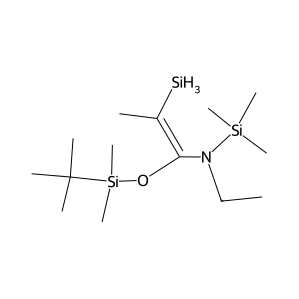 CCN(C(O[Si](C)(C)C(C)(C)C)=C(C)[SiH3])[Si](C)(C)C